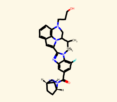 CC(C)C1CN(CCCO)c2cccc3cc(-c4nc5cc(C(=O)N6C[C@H]7CC[C@@H]6[C@@H]7N)cc(F)c5n4C)n1c23